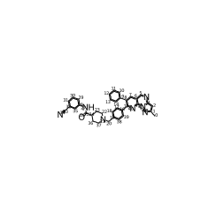 Cc1cc2ncc3cc(-c4ccccc4)c(-c4ccc(CN5CCC(C(=O)Nc6cccc(C#N)c6)CC5)cc4)nc3n2n1